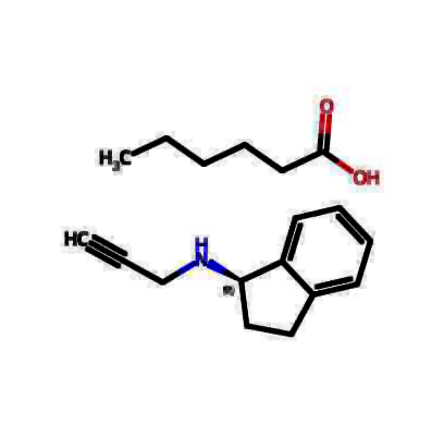 C#CCN[C@@H]1CCc2ccccc21.CCCCCC(=O)O